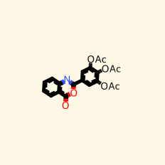 CC(=O)Oc1cc(-c2nc3ccccc3c(=O)o2)cc(OC(C)=O)c1OC(C)=O